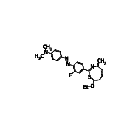 C=C1/C=C\CC(OCC)S/C(c2ccc(/N=N/c3ccc(N(C)C)cc3)c(F)c2)=N\1